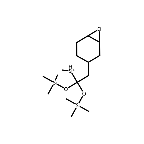 C[SiH2]C(CC1CCC2OC2C1)(O[Si](C)(C)C)O[Si](C)(C)C